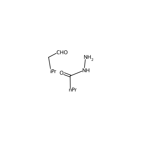 CC(C)CC=O.CCCC(=O)NN